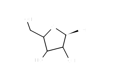 C[C@@H]1OC(CO)C(O)C1O